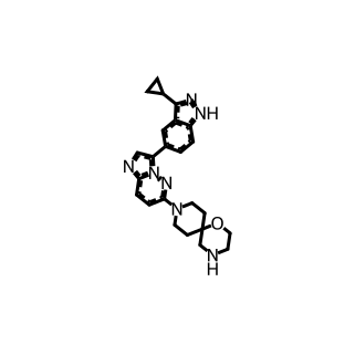 c1cc2[nH]nc(C3CC3)c2cc1-c1cnc2ccc(N3CCC4(CC3)CNCCO4)nn12